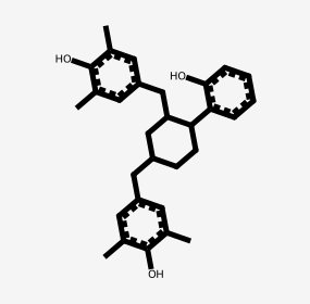 Cc1cc(CC2CCC(c3ccccc3O)C(Cc3cc(C)c(O)c(C)c3)C2)cc(C)c1O